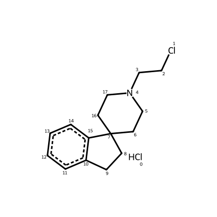 Cl.ClCCN1CCC2(CCc3ccccc32)CC1